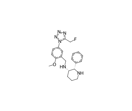 COc1ccc(-n2nnnc2CF)cc1CN[C@H]1CCCN[C@H]1c1ccccc1